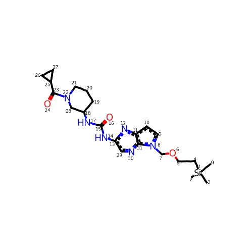 C[Si](C)(C)CCOCn1ccc2nc(NC(=O)NC3CCCN(C(=O)C4CC4)C3)cnc21